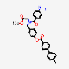 Cc1ccc(-c2ccc(C(=O)Oc3ccc(CN(CC(=O)OC(C)(C)C)C(=O)c4ccc(N)cc4)cc3)cc2)cc1